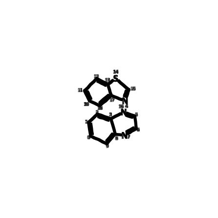 c1ccc2nccnc2c1.c1ccc2scnc2c1